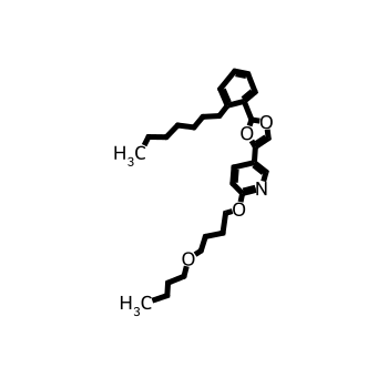 CCCCCCCc1ccccc1C1OC=C(c2ccc(OCCCCOCCCC)nc2)O1